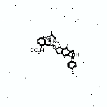 C[C@H]1C2=CNN(c3ccc(F)cc3)C2=CC2=C1[C@@H](CN(C[C@H](C)O)S(=O)(=O)Cc1ccccc1C(=O)O)CC2